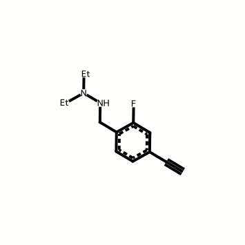 C#Cc1ccc(CNN(CC)CC)c(F)c1